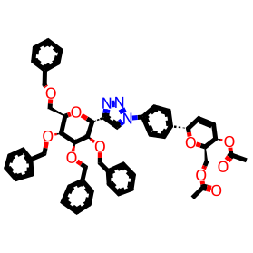 CC(=O)OC[C@H]1O[C@H](c2ccc(-n3cc([C@H]4O[C@H](COCc5ccccc5)[C@@H](OCc5ccccc5)[C@H](OCc5ccccc5)[C@@H]4OCc4ccccc4)nn3)cc2)C=C[C@@H]1OC(C)=O